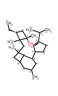 CC[C@H]1C[C@](C)(O)C1(C)CC1(C)CC2CC(C)CC(C3C=C(C(C)C)CC3)C21